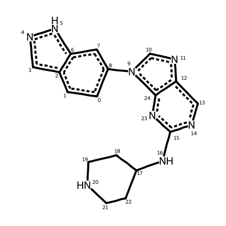 c1cc2cn[nH]c2cc1-n1cnc2cnc(NC3CCNCC3)nc21